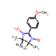 COc1ccc(C2=[N+]([O-])C(C)(C)C(C)(C)N2O)cc1